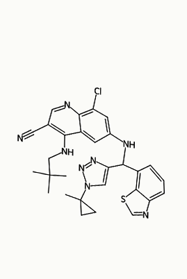 CC(C)(C)CNc1c(C#N)cnc2c(Cl)cc(NC(c3cn(C4(C)CC4)nn3)c3cccc4ncsc34)cc12